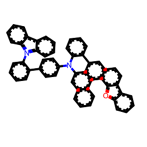 c1ccc(-c2cccc(-c3ccccc3N(c3ccc(-c4ccccc4-n4c5ccccc5c5ccccc54)cc3)c3cccc(-c4cccc5c4oc4ccccc45)c3)c2)cc1